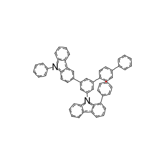 c1ccc(-c2ccc(-c3cc(-c4ccc5c(c4)c4ccccc4n5-c4ccccc4)cc(-n4c5ccccc5c5cccc(-c6ccccc6)c54)c3)cc2)cc1